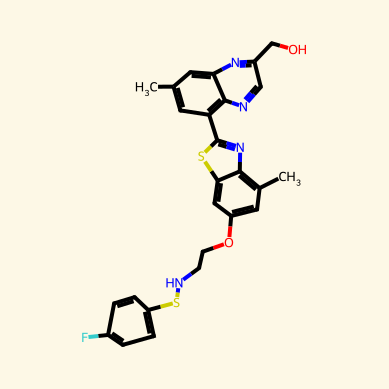 Cc1cc(-c2nc3c(C)cc(OCCNSc4ccc(F)cc4)cc3s2)c2ncc(CO)nc2c1